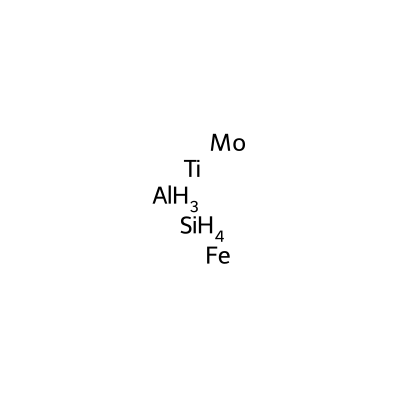 [AlH3].[Fe].[Mo].[SiH4].[Ti]